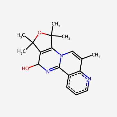 CC1=CN2C(=NC(O)C3=C2C(C)(C)OC3(C)C)c2cccnc21